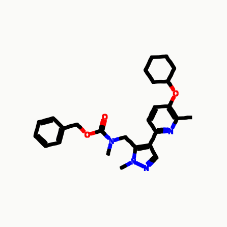 Cc1nc(-c2cnn(C)c2CN(C)C(=O)OCc2ccccc2)ccc1OC1CCCCC1